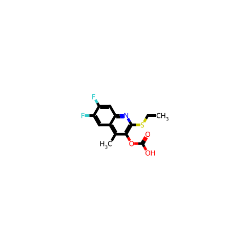 CCSc1nc2cc(F)c(F)cc2c(C)c1OC(=O)O